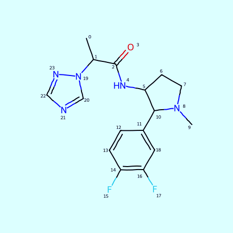 CC(C(=O)NC1CCN(C)C1c1ccc(F)c(F)c1)n1cncn1